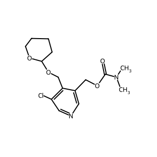 CN(C)C(=O)OCc1cncc(Cl)c1COC1CCCCO1